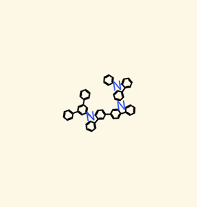 c1ccc(-c2cc(-c3ccccc3)cc(-n3c4ccccc4c4cc(-c5ccc6c7ccccc7n(-c7ccc8c(c7)c7ccccc7n8-c7ccccc7)c6c5)ccc43)c2)cc1